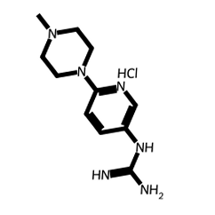 CN1CCN(c2ccc(NC(=N)N)cn2)CC1.Cl